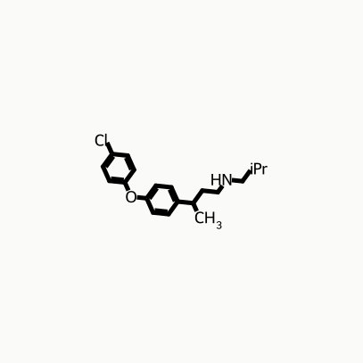 CC(C)CNCCC(C)c1ccc(Oc2ccc(Cl)cc2)cc1